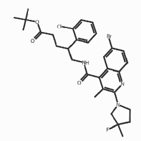 Cc1c(N2CCC(C)(F)C2)nc2ccc(Br)cc2c1C(=O)NCC(CCC(=O)OC(C)(C)C)c1ccccc1Cl